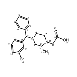 C[C@@H]1CN(C(c2ccccc2)c2cccc(Br)c2)CCN1CC(=O)O